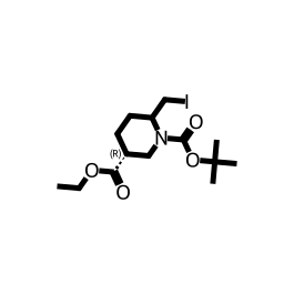 CCOC(=O)[C@@H]1CCC(CI)N(C(=O)OC(C)(C)C)C1